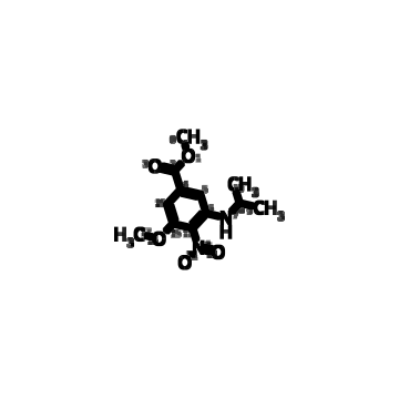 COC(=O)c1cc(NC(C)C)c([N+](=O)[O-])c(OC)c1